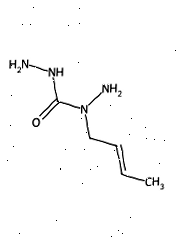 CC=CCN(N)C(=O)NN